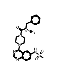 CS(=O)(=O)Nc1ccc2ncnc(N3CCN(C(=O)[C@H](N)Cc4ccccc4)CC3)c2c1